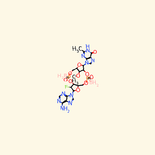 B[P@@]1(=O)OCC2OC(n3cnc4c(=O)[nH]c(C)nc43)C(O[P@](B)(=O)OCC3OC(n4cnc5c(N)ncnc54)C(F)C3O1)C2OC